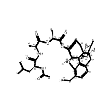 CC(=O)N[C@@H](CC(C)C)C(=O)N[C@@H](C)C(=O)O[C@@H](C)C(=O)OC1=CC[C@@]2(O)[C@H]3Cc4ccc(CO)c5c4[C@@]2(CCN3C)[C@H]1O5